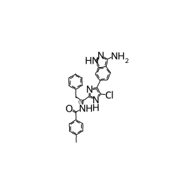 Cc1ccc(C(=O)N[C@@H](Cc2ccccc2)c2nc(-c3ccc4c(N)n[nH]c4c3)c(Cl)[nH]2)cc1